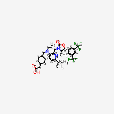 CCN(CC1CCC(CC(=O)O)CC1)c1ccc(C(C)C)nc1CN1C(=O)O[C@H](c2cc(C(F)(F)F)cc(C(F)(F)F)c2)[C@@H]1C